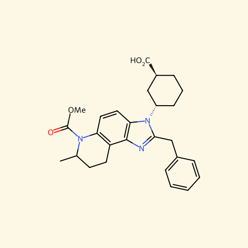 COC(=O)N1c2ccc3c(nc(Cc4ccccc4)n3[C@H]3CCC[C@H](C(=O)O)C3)c2CCC1C